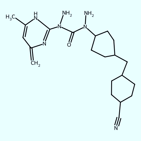 C=C1C=C(C)NC(N(N)C(=O)N(N)C2CCC(CC3CCC(C#N)CC3)CC2)=N1